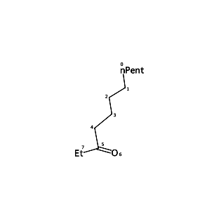 [CH2]CCCCCCCCC(=O)CC